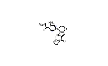 CNC(=O)C/C=C\C(=C/C(C)N)N1CCOc2cc(C(=O)N3CCC[C@@H]3C)[nH]c21